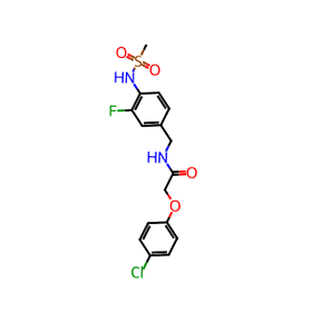 CS(=O)(=O)Nc1ccc(CNC(=O)COc2ccc(Cl)cc2)cc1F